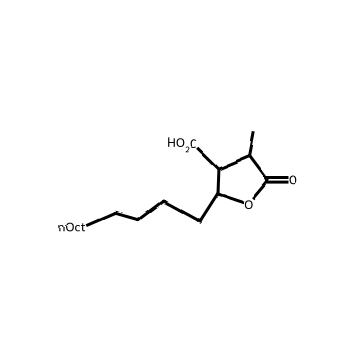 CCCCCCCCCCCCC1OC(=O)C(C)C1C(=O)O